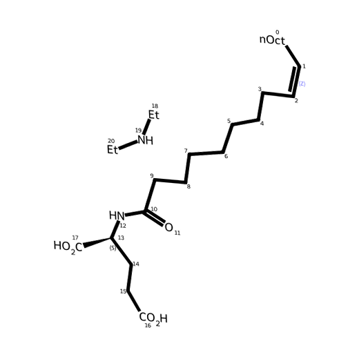 CCCCCCCC/C=C\CCCCCCCC(=O)N[C@@H](CCC(=O)O)C(=O)O.CCNCC